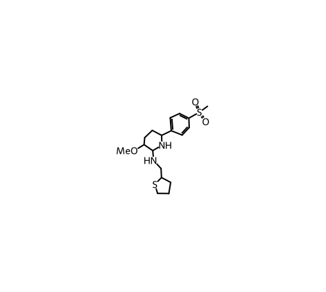 COC1CCC(c2ccc(S(C)(=O)=O)cc2)NC1NCC1CCCS1